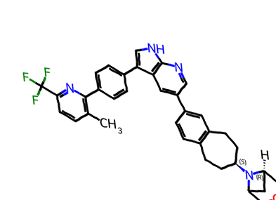 Cc1ccc(C(F)(F)F)nc1-c1ccc(-c2c[nH]c3ncc(-c4ccc5c(c4)CC[C@@H](N4C6COC[C@H]4C6)CC5)cc23)cc1